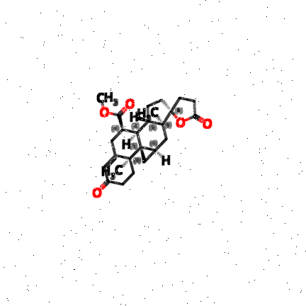 COC(=O)[C@@H]1CC2=CC(=O)CC[C@]2(C)[C@@]23C[C@@H]2C[C@@]2(C)[C@@H](CC[C@@]24CCC(=O)O4)[C@H]13